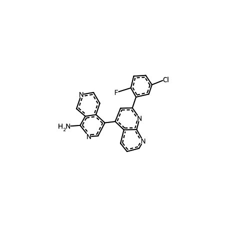 Nc1ncc(-c2cc(-c3cc(Cl)ccc3F)nc3ncccc23)c2ccncc12